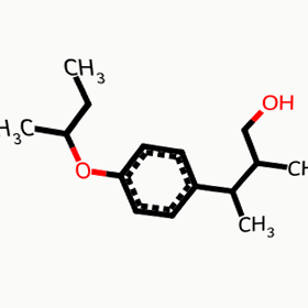 CCC(C)Oc1ccc(C(C)C(C)CO)cc1